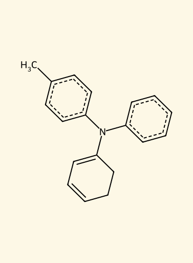 Cc1ccc(N(C2=CC=CCC2)c2ccccc2)cc1